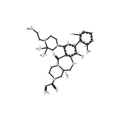 C=CC(=O)N1CCN2C(=O)c3c(N4CCN(CCOC)C(C)(C)C4)nc(-c4c(O)cccc4F)c(Cl)c3OC[C@H]2C1